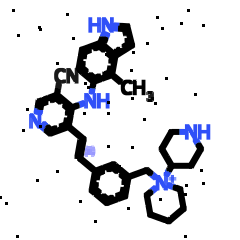 Cc1c(Nc2c(C#N)cncc2/C=C/c2cccc(C[N+]3(C4CCNCC4)CCCCC3)c2)ccc2[nH]ccc12